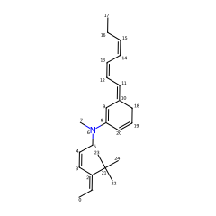 C/C=C(\C=C/CN(C)C1=C\C(=C/C=C\C=C/CC)CC=C1)C(C)(C)C